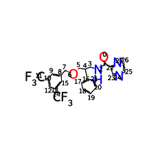 O=C(NCC(COCc1cc(C(F)(F)F)cc(C(F)(F)F)c1)c1ccccc1)c1cnccn1